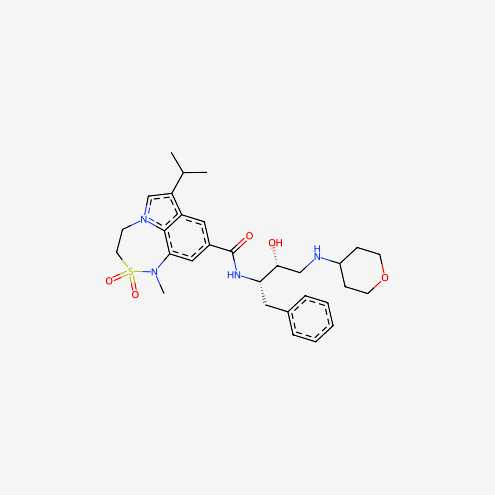 CC(C)c1cn2c3c(cc(C(=O)N[C@@H](Cc4ccccc4)[C@H](O)CNC4CCOCC4)cc13)N(C)S(=O)(=O)CC2